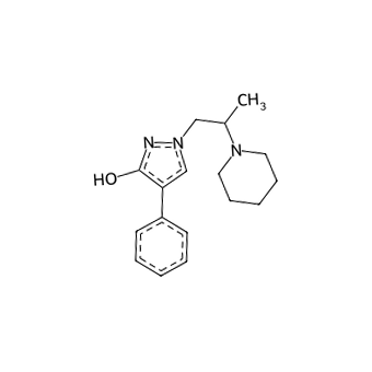 CC(Cn1cc(-c2ccccc2)c(O)n1)N1CCCCC1